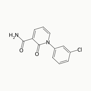 NC(=O)c1cccn(-c2cccc(Cl)c2)c1=O